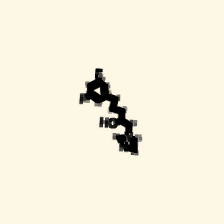 OC(CCCc1cc(F)cc(F)c1)Cn1ccnc1